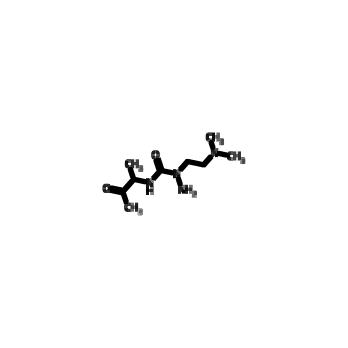 CC(=O)C(C)NC(=O)N(N)CCN(C)C